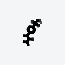 C=C(C)C(=O)N(C)c1ccc(S(N)(=O)=O)cc1